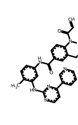 C=CC(=O)N1CCCc2cc(C(=O)Nc3ccc(C)c(Nc4nccc(-c5cccnc5)n4)c3)ccc21